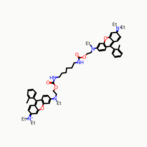 CCN(CCOC(=O)NCCCCCCNC(=O)OCCN(CC)c1ccc2c(-c3ccccc3C)c3ccc(=[N+](CC)CC)cc-3oc2c1)c1ccc2c(-c3ccccc3C)c3ccc(=[N+](CC)CC)cc-3oc2c1